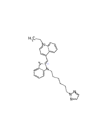 CC[n+]1ccc(/C=C2\Sc3ccccc3N2CCCCCCn2nccn2)c2ccccc21